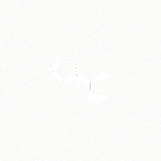 CCOC(=O)C(C(C)=O)=C1CCCC1